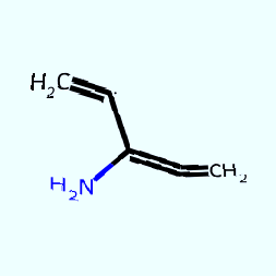 C=[C]C(N)=C=C